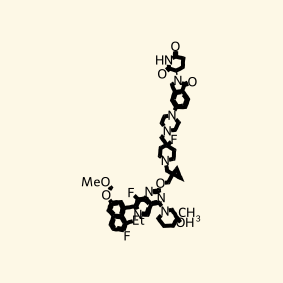 CCc1c(F)ccc2cc(OCOC)cc(-c3ncc4c(N5CCC[C@@](C)(O)C5)nc(OCC5(CN6CCC(F)(CN7CCN(c8ccc9c(c8)CN([C@H]8CCC(=O)NC8=O)C9=O)CC7)CC6)CC5)nc4c3F)c12